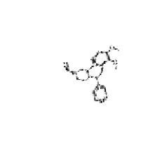 COc1ccc2c(c1OC)CC(c1ccccc1)C1=C2CN(C=O)CC1